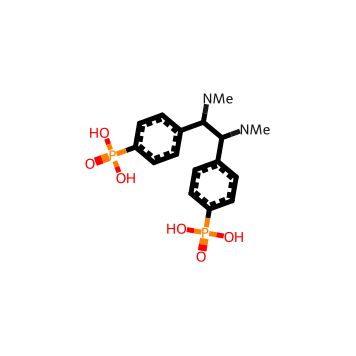 CNC(c1ccc(P(=O)(O)O)cc1)C(NC)c1ccc(P(=O)(O)O)cc1